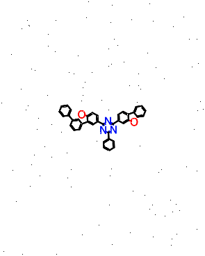 c1ccc(-c2nc(-c3ccc4c(c3)oc3ccccc34)nc(-c3ccc4oc5c(-c6ccccc6)cccc5c4c3)n2)cc1